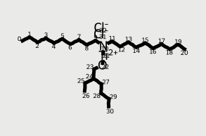 CCCCCCCCCC[N](CCCCCCCCCC)[Ti+2][O]CC(CC)CCCC.[Cl-].[Cl-]